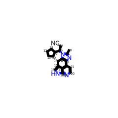 Cc1nc2c(n1C(CC#N)C1CCCC1)Cc1c[nH]c3nccc-2c13